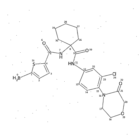 Bc1ccc(C(=O)NC2(C(=O)Nc3ccc(N4CCOCC4=O)c(Cl)c3)CCCCC2)s1